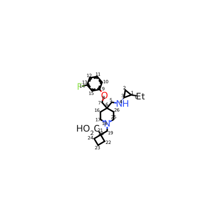 CCC1C[C@H]1NCC1(COc2cccc(F)c2)CCN(CC2(C(=O)O)CCC2)CC1